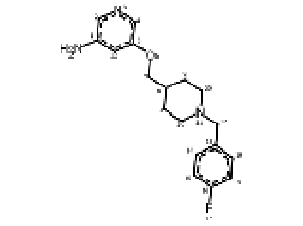 Nc1cncc(OCC2CCN(Cc3ccc(F)cc3)CC2)c1